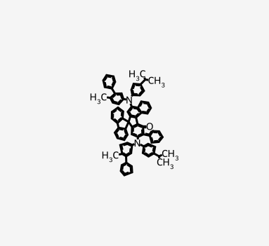 Cc1ccc(N(c2ccc(C(C)C)cc2)c2cc3c(c4ccccc24)-c2c(cc(N(c4ccc(C(C)C)cc4)c4ccc(C)c(-c5ccccc5)c4)c4c2oc2ccccc24)C32c3ccccc3-c3ccccc32)cc1-c1ccccc1